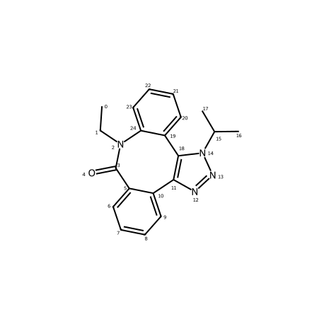 CCN1C(=O)c2ccccc2-c2nnn(C(C)C)c2-c2ccccc21